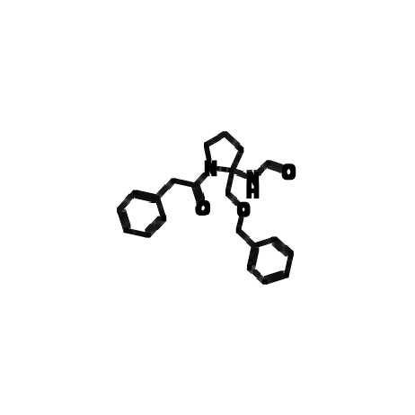 O=CNC1(COCc2ccccc2)CCCN1C(=O)Cc1ccccc1